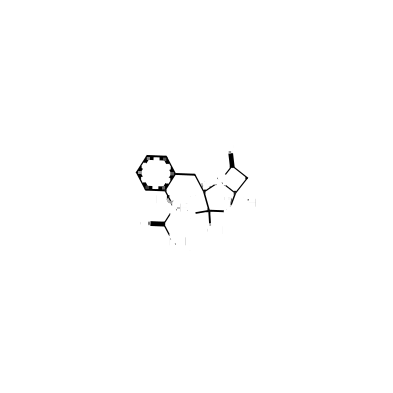 CC1(C)S[C@@H]2CC(=O)N2[C@@]1(Cc1ccccc1NC(N)=O)C(=O)O